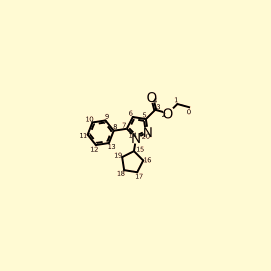 CCOC(=O)c1cc(-c2ccccc2)n(C2CCCC2)n1